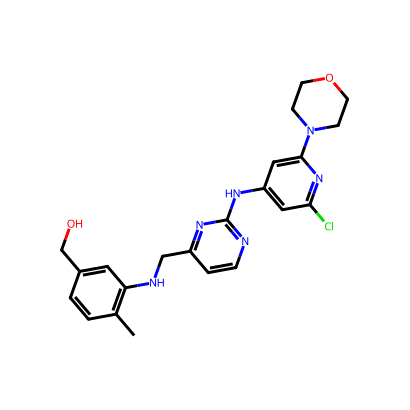 Cc1ccc(CO)cc1NCc1ccnc(Nc2cc(Cl)nc(N3CCOCC3)c2)n1